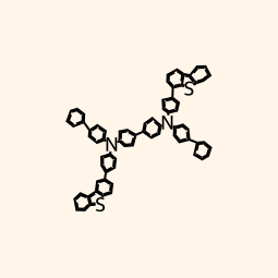 c1ccc(-c2ccc(N(c3ccc(-c4ccc(N(c5ccc(-c6ccccc6)cc5)c5ccc(-c6cccc7c6sc6ccccc67)cc5)cc4)cc3)c3ccc(-c4ccc5sc6ccccc6c5c4)cc3)cc2)cc1